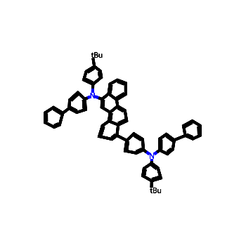 CC(C)(C)c1ccc(N(c2ccc(-c3ccccc3)cc2)c2ccc(-c3cccc4c3ccc3c5ccccc5c(N(c5ccc(-c6ccccc6)cc5)c5ccc(C(C)(C)C)cc5)cc43)cc2)cc1